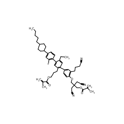 C=C(C)C(=O)OCCCc1cc(-c2ccc(C3CCC(CCCCC)CC3)cc2F)c(CC)cc1-c1ccc(OCC(CC#N)(CC#N)COC(=O)C(=C)C)c(CCCC#N)c1